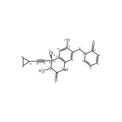 CN1C(=O)Nc2cc(Cn3cnccc3=O)c(Cl)cc2[C@]1(C#CC1CC1)C(F)(F)F